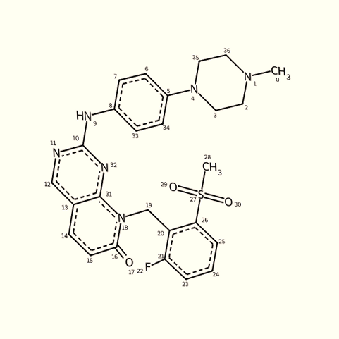 CN1CCN(c2ccc(Nc3ncc4ccc(=O)n(Cc5c(F)cccc5S(C)(=O)=O)c4n3)cc2)CC1